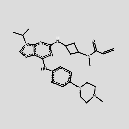 C=CC(=O)N(C)C1CC(Nc2nc(Nc3ccc(N4CCN(C)CC4)cc3)c3ncn(C(C)C)c3n2)C1